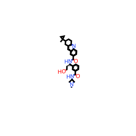 CN1CC(NC(=O)c2cccc([C@@H](CCO)NC(=O)c3ccc4nc5c(cc4c3)CC(C3(C)CC3)CC5)c2)C1